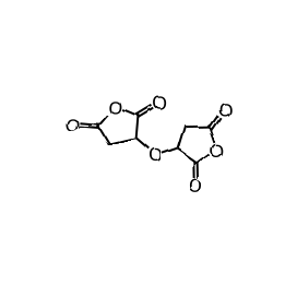 O=C1CC(OC2CC(=O)OC2=O)C(=O)O1